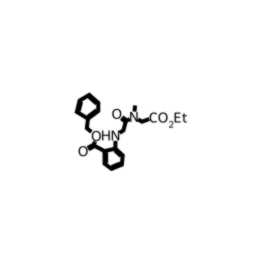 CCOC(=O)CN(C)C(=O)CNc1ccccc1C(=O)OCc1ccccc1